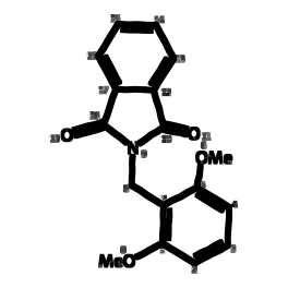 COc1cccc(OC)c1CN1C(=O)c2ccccc2C1=O